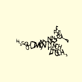 CCOC(=O)C1CCN(c2cnc(-c3nc4nc(-c5cc(C6CC6)nc(C(F)(F)F)c5)cc(N(C)CC5(COC)CCC5)c4[nH]3)cn2)CC1